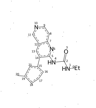 CCNC(=O)Nc1nc2ccncc2cc1-c1cccc(C)c1